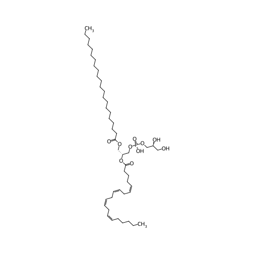 CCCCC/C=C\C/C=C\C/C=C\C/C=C\CCCC(=O)O[C@H](COC(=O)CCCCCCCCCCCCCCCCCCCCC)COP(=O)(O)OC[C@@H](O)CO